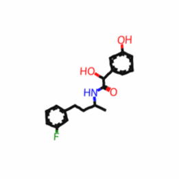 CC(CCc1cccc(F)c1)NC(=O)C(O)c1cccc(O)c1